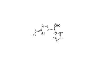 CC/C=C(CC)/N=C\CC(C=O)n1cccn1